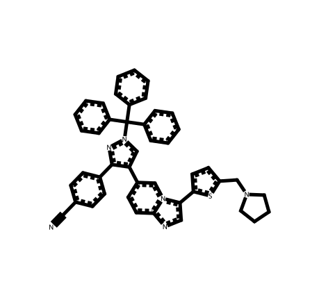 N#Cc1ccc(-c2nn(C(c3ccccc3)(c3ccccc3)c3ccccc3)cc2-c2ccc3ncc(-c4ccc(CN5CCCC5)s4)n3c2)cc1